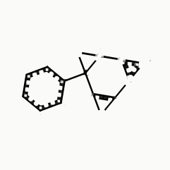 c1ccc(C23ON2n2on2C2=C3O2)cc1